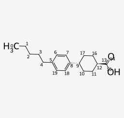 CCCCCc1ccc([C@H]2CC[C@H](C(=O)O)CC2)cc1